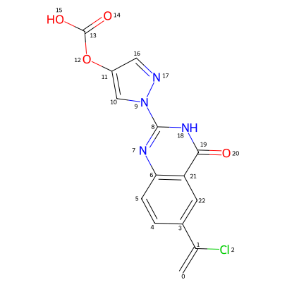 C=C(Cl)c1ccc2nc(-n3cc(OC(=O)O)cn3)[nH]c(=O)c2c1